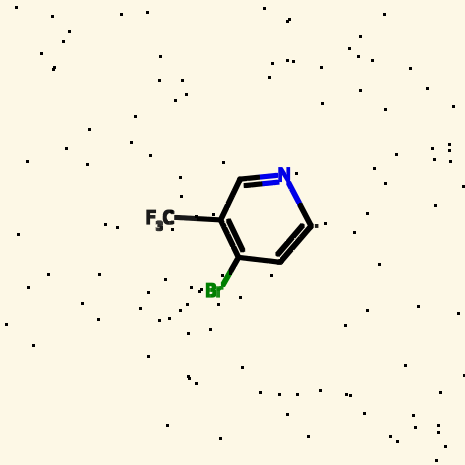 FC(F)(F)c1cn[c]cc1Br